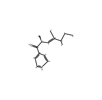 CCC(C)/C(C)=C/[C@H](C)C(=O)c1ccncc1